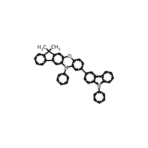 CC1(C)c2ccccc2-c2cc3c(cc21)Oc1ccc(-c2ccc4c(c2)c2ccccc2n4-c2ccccc2)cc1N3c1ccccc1